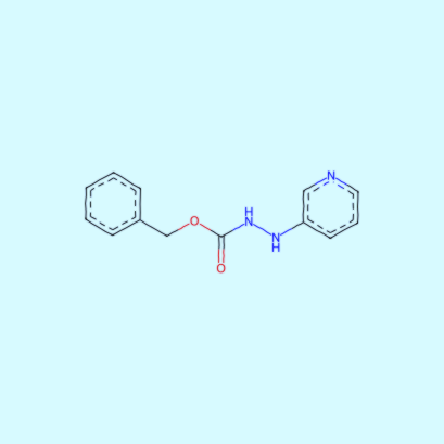 O=C(NNc1cccnc1)OCc1ccccc1